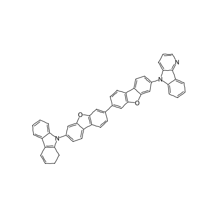 C1=Cc2c(n(-c3ccc4c(c3)oc3cc(-c5ccc6c(c5)oc5cc(-n7c8ccccc8c8ncccc87)ccc56)ccc34)c3ccccc23)CC1